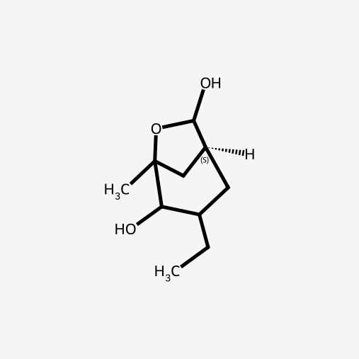 CCC1C[C@H]2CC(C)(OC2O)C1O